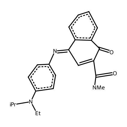 CCN(c1ccc(/N=C2\C=C(C(=O)NC)C(=O)c3ccccc32)cc1)C(C)C